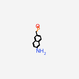 Nc1ccc2cc(CP=O)ccc2c1